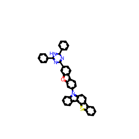 c1ccc(C2=NC(c3ccc4c(c3)oc3cc(-n5c6ccccc6c6c7sc8ccccc8c7ccc65)ccc34)=NC(c3ccccc3)N2)cc1